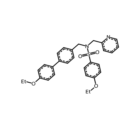 CCOc1ccc(-c2ccc(CN(Cc3ccccn3)S(=O)(=O)c3ccc(OCC)cc3)cc2)cc1